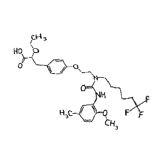 CCOC(Cc1ccc(OCCN(CCCCCC(F)(F)F)C(=O)Nc2cc(C)ccc2OC)cc1)C(=O)O